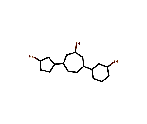 SC1CCCC(C2CCC(C3CCC(S)C3)CC(S)C2)C1